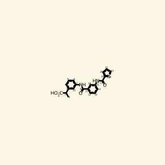 CC(C(=O)O)c1cccc(NC(=O)c2cccc(NC(=O)c3cccs3)c2)c1